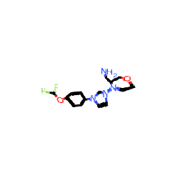 NCC1COCCN1N1C=CN(c2ccc(OC(F)F)cc2)C1